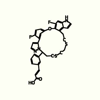 O=C(O)/C=C/c1cccc(C2CCSCCSCCc3c(c(F)cc4[nH]ccc34)Oc3ccc(F)c(c3)-c3ccnn32)c1